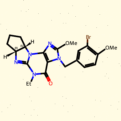 CCN1C(=O)c2c(nc(OC)n2Cc2ccc(OC)c(Br)c2)N2C1=N[C@@H]1CCC[C@@H]12